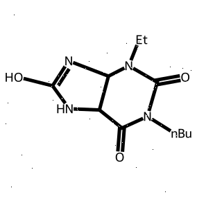 CCCCN1C(=O)C2NC(O)=NC2N(CC)C1=O